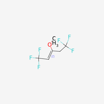 CO/C(=C\C(F)(F)F)CC(F)(F)F